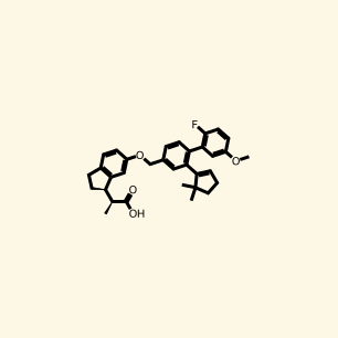 COc1ccc(F)c(-c2ccc(COc3ccc4c(c3)[C@@H]([C@H](C)C(=O)O)CC4)cc2C2=CCCC2(C)C)c1